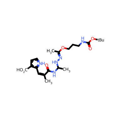 C/C(=C/c1[nH]ccc1C(=O)O)C(=O)NC(C)N/N=C(\C)OCCCNC(=O)OC(C)(C)C